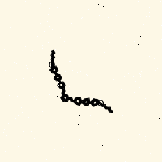 CCCCCCOc1ccc(-c2ccc(C3CCC(CCc4cccc(CCC5CCC(c6ccc(-c7ccc(OCCCCCC)cc7)cc6)CC5)c4)CC3)cc2)cc1